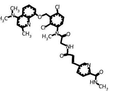 CNC(=O)c1ccc(C=CC(=O)NCC(=O)N(C)c2ccc(Cl)c(COc3cccc4c(N(C)C)cc(C)nc34)c2Cl)cn1